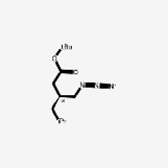 CC(C)C[C@H](CN=[N+]=[N-])CC(=O)OC(C)(C)C